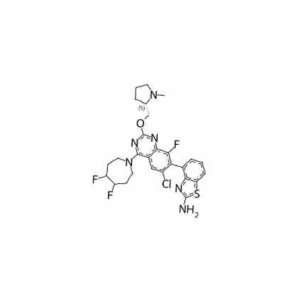 CN1CCC[C@H]1COc1nc(N2CCC(F)C(F)CC2)c2cc(Cl)c(-c3cccc4sc(N)nc34)c(F)c2n1